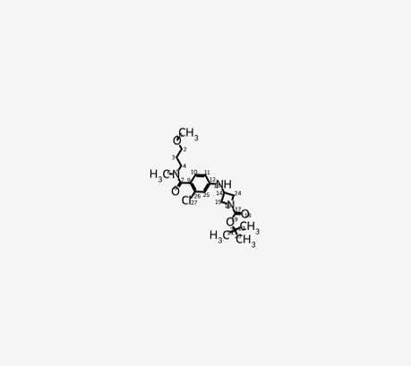 COCCCN(C)C(=O)c1ccc(NC2CN(C(=O)OC(C)(C)C)C2)cc1Cl